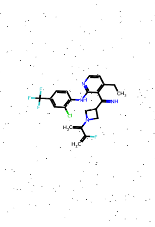 C=C(F)C(=C)N1CC(C(=N)c2c(CC)ccnc2Nc2ccc(C(F)(F)F)cc2Cl)C1